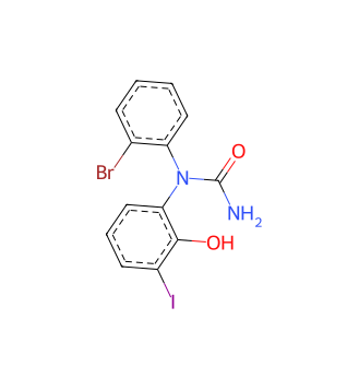 NC(=O)N(c1ccccc1Br)c1cccc(I)c1O